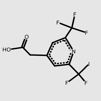 O=C(O)Cc1cc(C(F)(F)F)nc(C(F)(F)I)c1